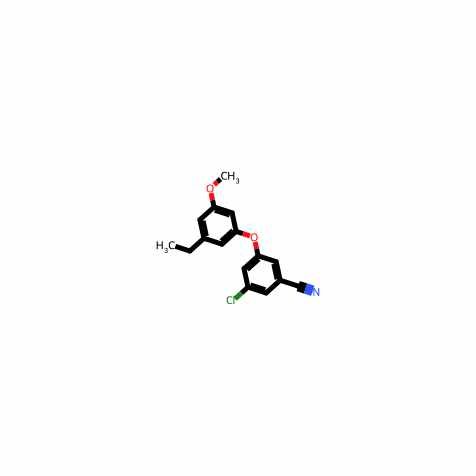 CCc1cc(OC)cc(Oc2cc(Cl)cc(C#N)c2)c1